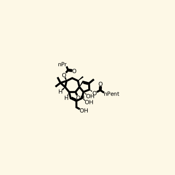 CCCCCC(=O)O[C@H]1C(C)=C[C@]23C(O)[C@@H](C=C(CO)[C@@H](O)[C@]12O)[C@@H]1C(C)(C)[C@]1(OC(=O)CCC)C[C@H]3C